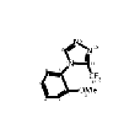 COc1ccccc1-n1cnnc1C(F)(F)F